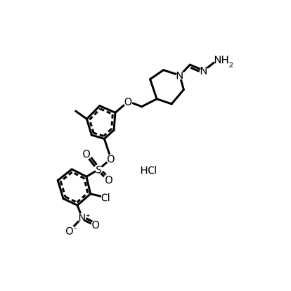 Cc1cc(OCC2CCN(C=NN)CC2)cc(OS(=O)(=O)c2cccc([N+](=O)[O-])c2Cl)c1.Cl